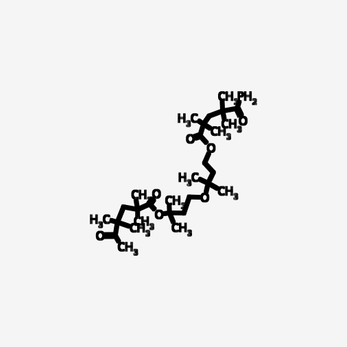 CC(=O)C(C)(C)CC(C)(C)C(=O)OC(C)(C)CCOC(C)(C)CCOC(=O)C(C)(C)CC(C)(C)C(=O)P